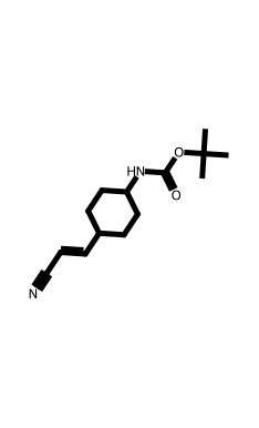 CC(C)(C)OC(=O)NC1CCC(C=CC#N)CC1